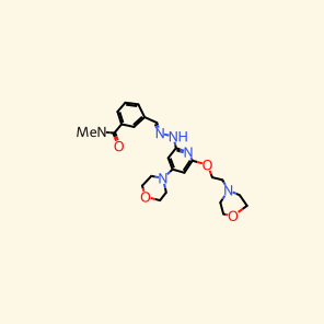 CNC(=O)c1cccc(/C=N/Nc2cc(N3CCOCC3)cc(OCCN3CCOCC3)n2)c1